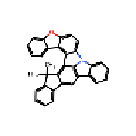 CC1(C)c2ccccc2-c2cc3c4ccccc4n4c5ccc6oc7ccccc7c6c5c(c21)c34